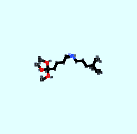 CCO[Si](CCC/C=N\CCC[SiH](C)C)(OCC)OCC